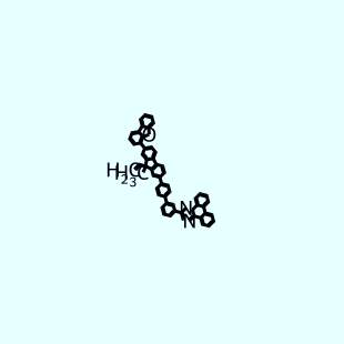 C=CC1(C)c2cc(-c3ccc(-c4cccc(-c5cnc6c7ccccc7c7ccccc7c6n5)c4)cc3)ccc2-c2ccc(-c3cccc4c3oc3ccccc34)cc21